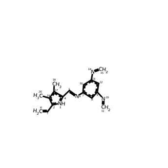 C=Cc1[nH]c(C=Nc2cc(N=C)cc(N=C)c2)c(C)c1C